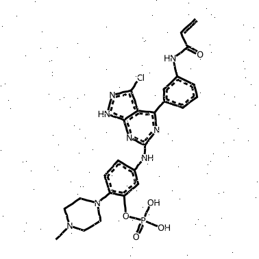 C=CC(=O)Nc1cccc(-c2nc(Nc3ccc(N4CCN(C)CC4)c(OP(=O)(O)O)c3)nc3[nH]nc(Cl)c23)c1